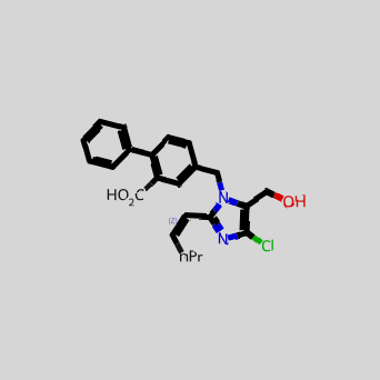 CCC/C=C\c1nc(Cl)c(CO)n1Cc1ccc(-c2ccccc2)c(C(=O)O)c1